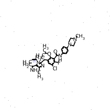 C=C(N)c1c(C)nc(C(C)c2cc(Cl)c(F)c(C(=O)Nc3ccc(N4CCN(C)CC4)cc3)c2OC(C)C)n1/C=C\C